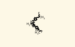 CC(CCF)CCc1ccc(-c2cnc(N)c(-c3cc(-c4ccc(CNC(C)CF)cc4)no3)n2)cc1